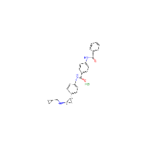 Cl.O=C(Nc1ccc(C(=O)Nc2ccc([C@@H]3C[C@H]3NCC3CC3)cc2)cc1)c1ccccc1